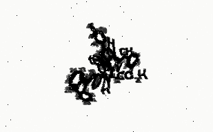 C[C@H](c1ccccc1)[C@H](N=C(OC(C)(C)C)[C@@H](CC(=O)O)NC(=O)OCC1c2ccccc2-c2ccccc21)c1ncc(-c2ccc(I)cc2)[nH]1